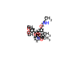 C=CCNCCOc1cccc([C@@H](CCc2ccc(OC)c(OC)c2)OC(=O)C2CCCCN2C(=O)C(=O)C(C)(C)CC)c1